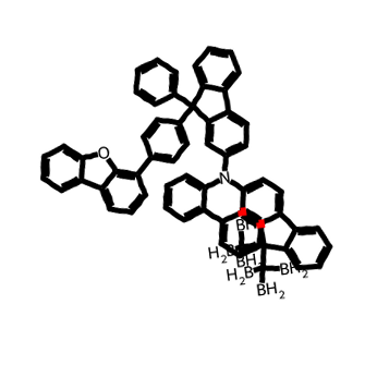 BC(B)(B)C1(C(B)(B)B)c2ccccc2-c2ccc(N(c3ccc4c(c3)C(c3ccccc3)(c3ccc(-c5cccc6c5oc5ccccc56)cc3)c3ccccc3-4)c3ccccc3-c3ccccc3)cc21